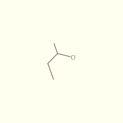 [CH2]C(Cl)CC